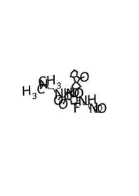 CN(C)CCCCNC(=O)c1cn2c3cc4c(cc3oc3c(NCCCN5CCOCC5)c(F)cc(c1=O)c32)c(=O)c1ccccc14